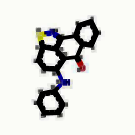 O=C1c2ccccc2-c2nsc3ccc(Nc4ccccc4)c1c23